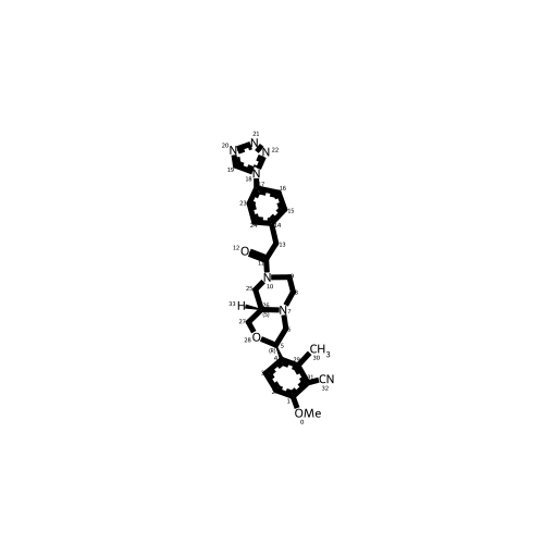 COc1ccc([C@@H]2CN3CCN(C(=O)Cc4ccc(-n5cnnn5)cc4)C[C@H]3CO2)c(C)c1C#N